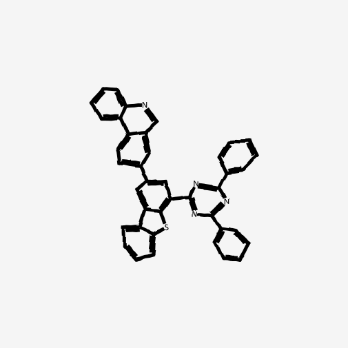 c1ccc(-c2nc(-c3ccccc3)nc(-c3cc(-c4ccc5c(cnc6ccccc65)c4)cc4c3sc3ccccc34)n2)cc1